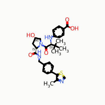 Cc1ncsc1-c1ccc(CNC(=O)[C@@H]2C[C@@H](O)CN2C(=O)[C@@H](Nc2ccc(C(=O)O)cc2)C(C)(C)C)cc1